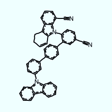 N#Cc1ccc(-n2c3c(c4cccc(C#N)c42)CCC=C3)c(-c2ccc(-c3cccc(-n4c5ccccc5c5ccccc54)c3)cc2)c1